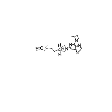 CCOC(=O)CCCC1[C@H]2CN(c3cc4nccnc4c(N4CCC4C)n3)C[C@@H]12